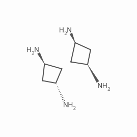 N[C@H]1C[C@@H](N)C1.N[C@H]1C[C@H](N)C1